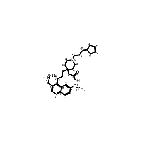 COc1ccc2ncc(CN)c([C@H](O)CCC3(CC(=O)O)CCN(CCSC4CCCC4)CC3)c2c1